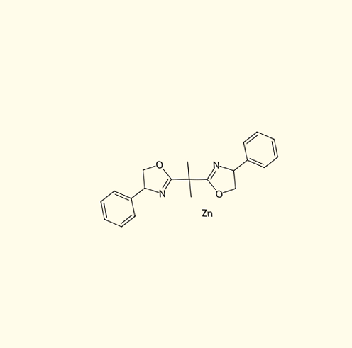 CC(C)(C1=NC(c2ccccc2)CO1)C1=NC(c2ccccc2)CO1.[Zn]